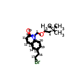 C[Si](C)(C)CCOCn1c(=O)ccc2cc(CCBr)ccc21